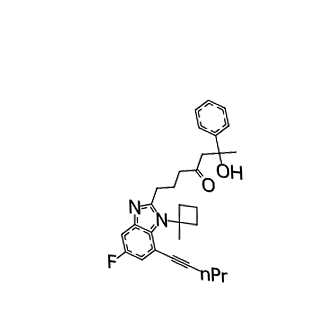 CCCC#Cc1cc(F)cc2nc(CCCC(=O)CC(C)(O)c3ccccc3)n(C3(C)CCC3)c12